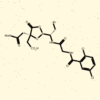 CNC(=O)C[C@@]1(CC(=O)O)OB([C@H](CC(C)C)NC(=O)CNC(=O)c2cc(Cl)ccc2Cl)OC1=O